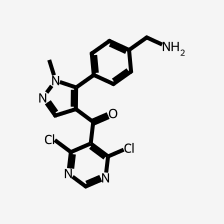 Cn1ncc(C(=O)c2c(Cl)ncnc2Cl)c1-c1ccc(CN)cc1